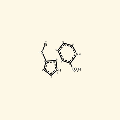 CCSc1cc[nH]c1.O=C(O)c1ccccn1